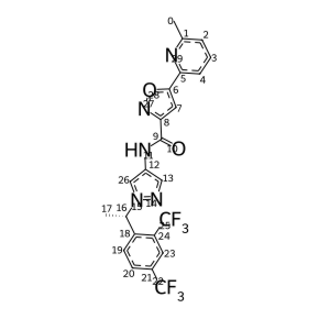 Cc1cccc(-c2cc(C(=O)Nc3cnn([C@@H](C)c4ccc(C(F)(F)F)cc4C(F)(F)F)c3)no2)n1